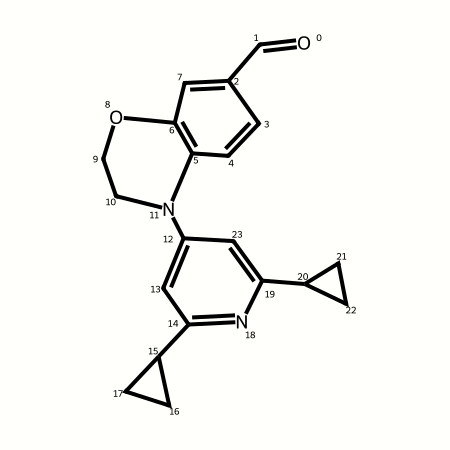 O=Cc1ccc2c(c1)OCCN2c1cc(C2CC2)nc(C2CC2)c1